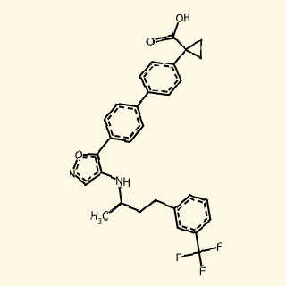 CC(CCc1cccc(C(F)(F)F)c1)Nc1cnoc1-c1ccc(-c2ccc(C3(C(=O)O)CC3)cc2)cc1